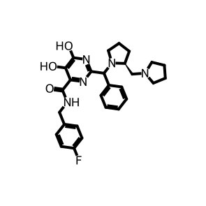 O=C(NCc1ccc(F)cc1)c1nc(C(c2ccccc2)N2CCC[C@H]2CN2CCCC2)nc(O)c1O